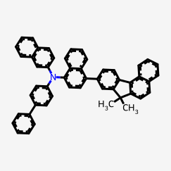 CC1(C)c2cc(-c3ccc(N(c4ccc(-c5ccccc5)cc4)c4ccc5ccccc5c4)c4ccccc34)ccc2-c2c1ccc1ccccc21